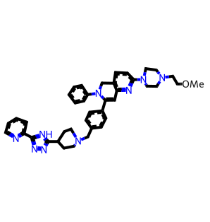 COCCN1CCN(c2ccc3c(n2)C=C(c2ccc(CN4CCC(c5nnc(-c6ccccn6)[nH]5)CC4)cc2)N(c2ccccc2)C3)CC1